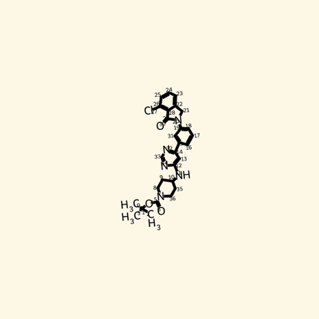 CC(C)(C)OC(=O)N1CCC(Nc2cc(-c3cccc(N4Cc5cccc(Cl)c5C4=O)c3)ncn2)CC1